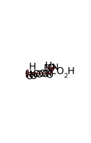 CN(C)c1ccc2c(c1)OC1=CC(N(C)C)C=CC1=C2c1cc(C(=O)NCCOCCOCCOCCOCCC(=O)NCCC(=O)N2Cc3ccccc3C#Cc3ccccc32)ccc1C(=O)O